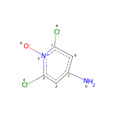 Nc1cc(Cl)[n+]([O-])c(Cl)c1